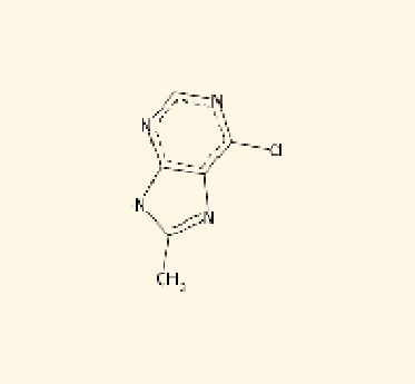 CC1=Nc2c(Cl)ncnc2[N]1